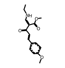 CCNC=C(C(=O)C=Cc1ccc(OC)cc1)C(=O)OC